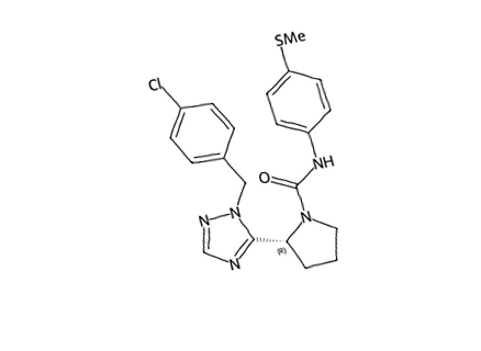 CSc1ccc(NC(=O)N2CCC[C@@H]2c2ncnn2Cc2ccc(Cl)cc2)cc1